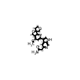 COc1cc(-c2c[nH]c3cnc(CC(N)=O)cc23)nc2c1COC21CCOC1